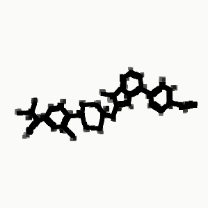 CNc1ccc(-c2ccnc3c2cc(CN2CCC(c4ncc(C(=O)N(C)C)cc4C)CC2)n3C)nc1